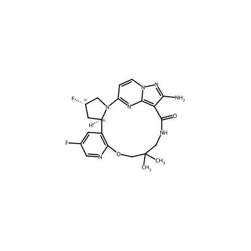 CC1(C)CNC(=O)c2c(N)nn3ccc(nc23)N2C[C@@H](F)C[C@@H]2c2cc(F)cnc2OC1